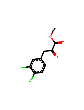 CC(C)OC(=O)C(=O)Cc1ccc(Cl)c(Cl)c1